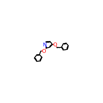 c1ccc(COc2ccnc(OCc3ccccc3)c2)cc1